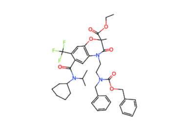 CCOC(=O)C1(C)Oc2cc(C(F)(F)F)c(C(=O)N(C(C)C)C3CCCCC3)cc2N(CCN(Cc2ccccc2)C(=O)OCc2ccccc2)C1=O